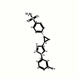 NS(=O)(=O)c1ccc([C@@H]2C[C@H]2c2cn(-c3cccc(F)c3)nn2)cc1